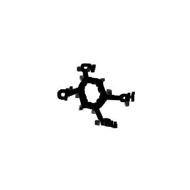 CC(C)(C)c1cc(Cl)c(C#N)cc1O